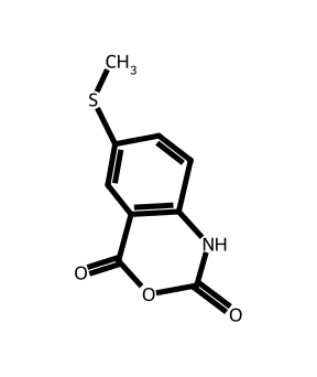 CSc1ccc2[nH]c(=O)oc(=O)c2c1